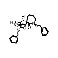 CC(N[C@]1(C=C=O)CCCCN(OCc2ccccc2)C1=O)C(=O)OCc1ccccc1